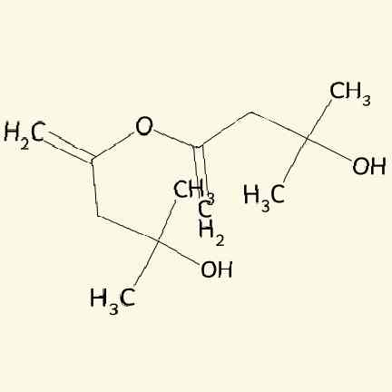 C=C(CC(C)(C)O)OC(=C)CC(C)(C)O